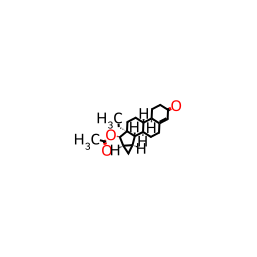 CC[C@]12CC[C@H]3[C@@H](CCC4=CC(=O)CC[C@@H]43)[C@@H]1[C@H]1C[C@H]1[C@@H]2OC(C)=O